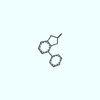 CC1Cc2cccc(-c3ccccc3)c2C1